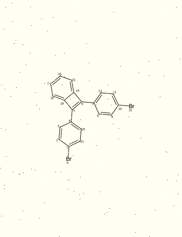 Brc1ccc(C2=C(c3ccc(Br)cc3)c3ccccc32)cc1